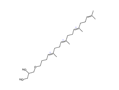 CC(C)=CCC/C(C)=C/CC/C(C)=C/CC/C(C)=C/CCCOCC(O)CO